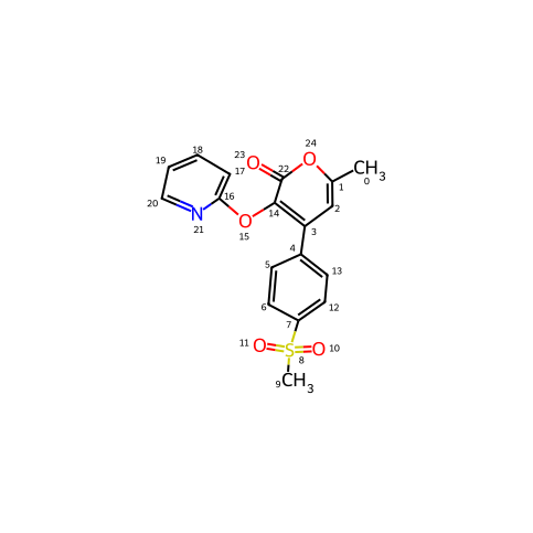 Cc1cc(-c2ccc(S(C)(=O)=O)cc2)c(Oc2ccccn2)c(=O)o1